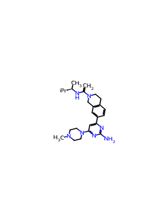 C=C(N[C@H](C)C(C)C)N1CCc2ccc(-c3cc(N4CCN(C)CC4)nc(N)n3)cc2C1